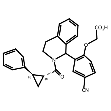 N#Cc1ccc(OCC(=O)O)c(C2c3ccccc3CCN2C(=O)[C@@H]2C[C@H]2c2ccccc2)c1